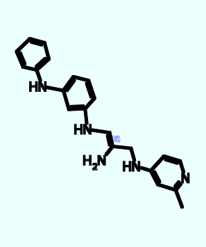 Cc1cc(NC/C(N)=C/Nc2cccc(Nc3ccccc3)c2)ccn1